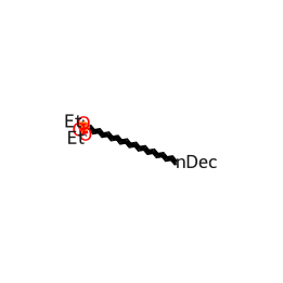 CCCCCCCCCCCCCCCCCCCCCCCCCCCCCCP(=O)(OCC)OCC